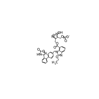 CCOc1nc2cccc(C(=O)OCc3no[n+](O)c3CO[N+](=O)[O-])c2n1Cc1ccc(-c2ccccc2-c2noc(=O)[nH]2)cc1